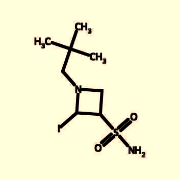 CC(C)(C)CN1CC(S(N)(=O)=O)C1I